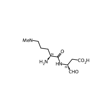 CNCCC[C@H](N)C(=O)N[C@H](C=O)CC(=O)O